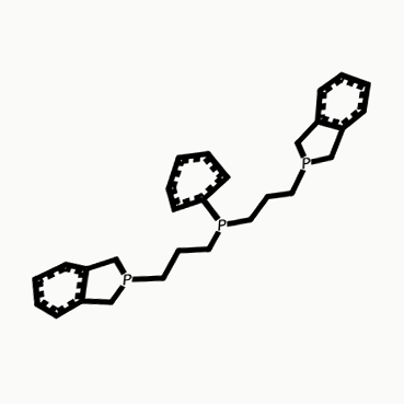 c1ccc(P(CCCP2Cc3ccccc3C2)CCCP2Cc3ccccc3C2)cc1